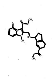 COC(=O)C1=CC2=C(CC1)CCC2NCc1c(C(=O)OC)c2c(Cl)cccc2n1C